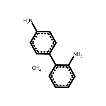 C.Nc1ccc(-c2ccccc2N)cc1